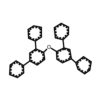 c1ccc(-c2ccc(Oc3ccc(-c4ccccc4)cc3-c3ccccc3)c(-c3ccccc3)c2)cc1